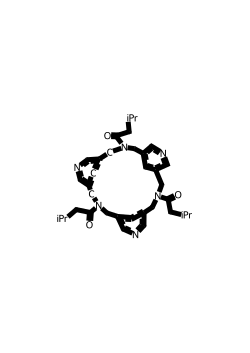 CC(C)CC(=O)N1Cc2cncc(c2)CN(C(=O)CC(C)C)Cc2cncc(c2)CN(C(=O)CC(C)C)Cc2cncc(c2)C1